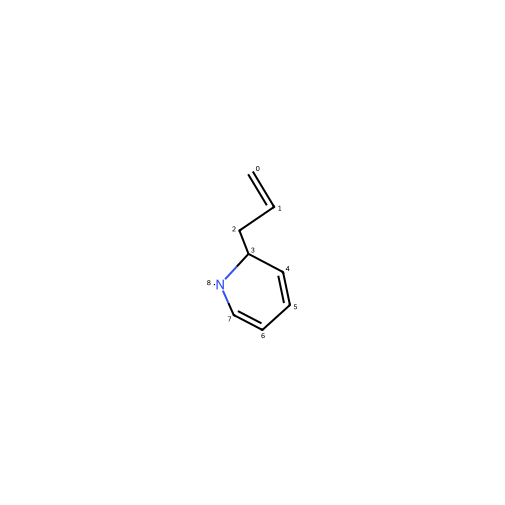 C=CCC1C=CC=C[N]1